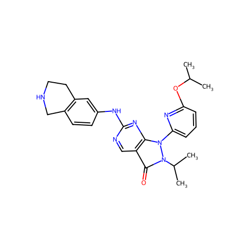 CC(C)Oc1cccc(-n2c3nc(Nc4ccc5c(c4)CCNC5)ncc3c(=O)n2C(C)C)n1